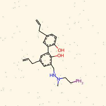 C=CCc1ccc(O)c(-c2cc(CC=C)cc(CNN(C)CCP)c2O)c1